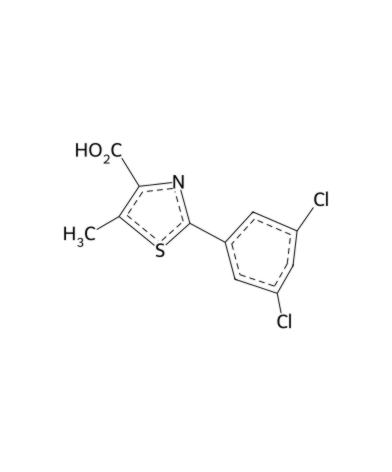 Cc1sc(-c2cc(Cl)cc(Cl)c2)nc1C(=O)O